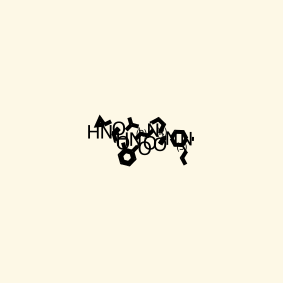 CCC[C@H]1CN(C(=O)[C@H]2CCCN2C(=O)[C@@H](CC(C)C)NC(=O)c2ccccc2OCC(=O)NC2(C)CC2)CCN1C